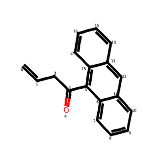 C=CCC(=O)c1c2ccccc2cc2ccccc12